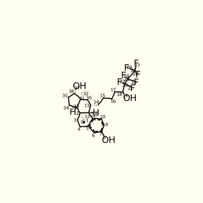 C=C[C@@]12CCc3cc(O)ccc3[C@H]1[C@@H](CCCCC(O)C(F)(F)C(F)(F)C(F)(F)F)C[C@@]1(C)[C@H]2CC[C@@H]1O